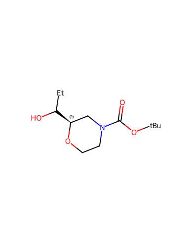 CCC(O)[C@H]1CN(C(=O)OC(C)(C)C)CCO1